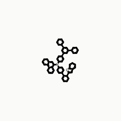 c1ccc(-c2cc(-c3ccccc3)cc(-c3ccc(N(c4ccc(-c5ccccc5-c5cc6ccccc6o5)cc4)c4cc5ccccc5c5ccccc45)cc3)c2)cc1